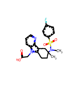 CN(C1(C)CCc2c(c3ncccc3n2CC(=O)O)C1)S(=O)(=O)c1ccc(F)cc1